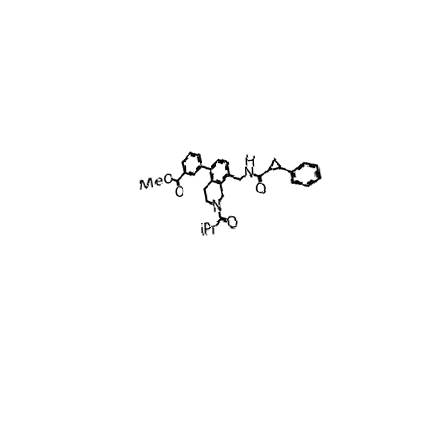 COC(=O)c1cccc(-c2ccc(CNC(=O)C3CC3c3ccccc3)c3c2CCN(C(=O)C(C)C)C3)c1